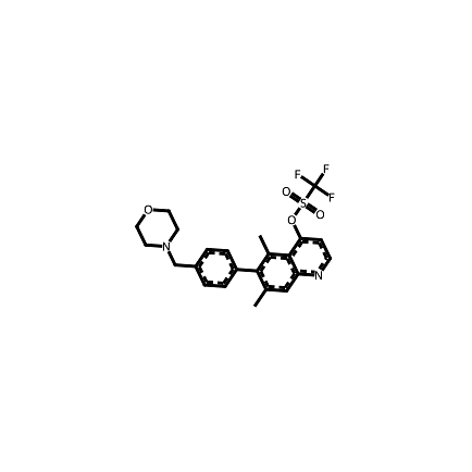 Cc1cc2nccc(OS(=O)(=O)C(F)(F)F)c2c(C)c1-c1ccc(CN2CCOCC2)cc1